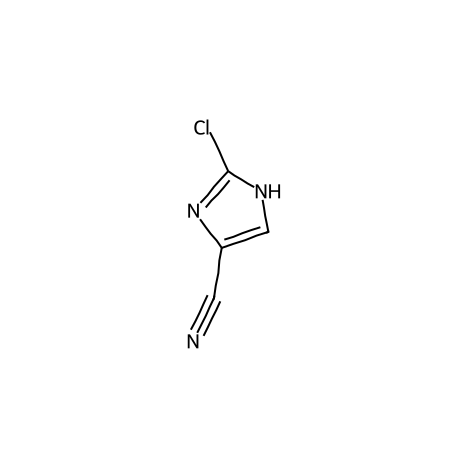 N#Cc1c[nH]c(Cl)n1